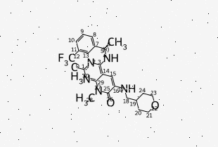 Cc1nc(N[C@H](C)c2cccc(C(F)(F)F)c2)c2cc(NCC3CCOCC3)c(=O)n(C)c2n1